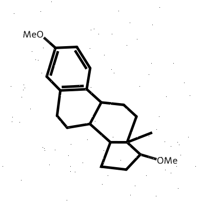 COc1ccc2c(c1)CCC1C2CCC2(C)C(OC)CCC12